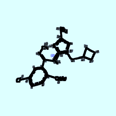 COc1ccc(Cl)cc1C(=NC#N)/N=c1\sc(C(C)(C)C)cn1CC1CCC1